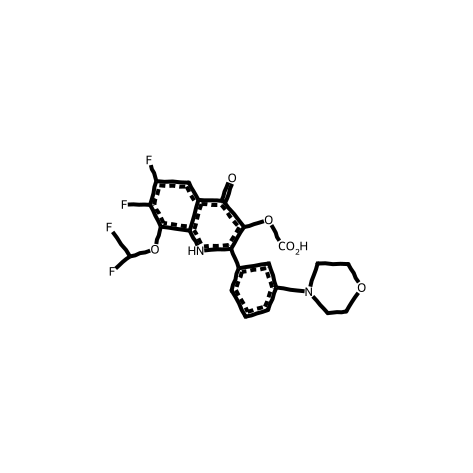 O=C(O)Oc1c(-c2cccc(N3CCOCC3)c2)[nH]c2c(OC(F)F)c(F)c(F)cc2c1=O